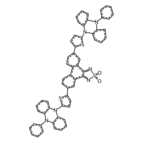 O=S1(=O)N=c2c(c3cc(-c4ccc(N5c6ccccc6N(c6ccccc6)c6ccccc65)s4)ccc3c3ccc(-c4ccc(N5c6ccccc6N(c6ccccc6)c6ccccc65)s4)cc23)=N1